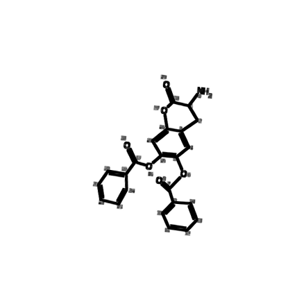 NC1Cc2cc(OC(=O)c3ccccc3)c(OC(=O)c3ccccc3)cc2OC1=O